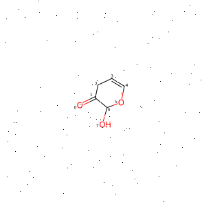 O=C1CC=COC1O